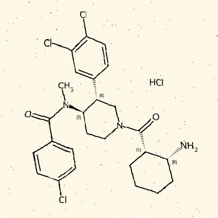 CN(C(=O)c1ccc(Cl)cc1)[C@@H]1CCN(C(=O)[C@H]2CCCC[C@H]2N)C[C@H]1c1ccc(Cl)c(Cl)c1.Cl